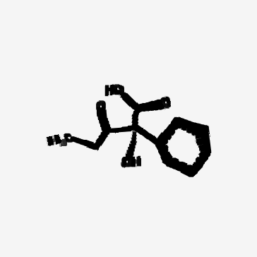 CCC(=O)[C@@](O)(C(=O)O)c1ccccc1